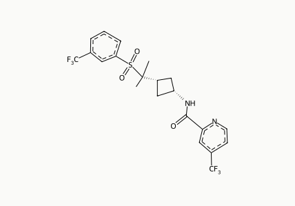 CC(C)([C@H]1C[C@@H](NC(=O)c2cc(C(F)(F)F)ccn2)C1)S(=O)(=O)c1cccc(C(F)(F)F)c1